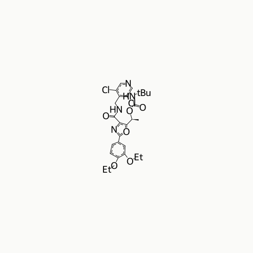 CCOc1ccc(-c2nc(C(=O)NCc3c(Cl)cncc3Cl)c([C@H](C)OC(=O)NC(C)(C)C)o2)cc1OCC